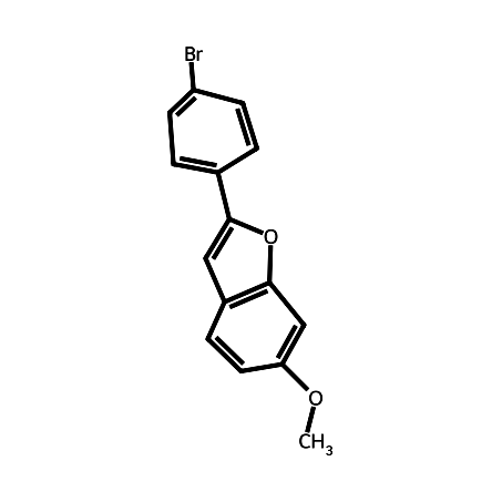 COc1ccc2cc(-c3ccc(Br)cc3)oc2c1